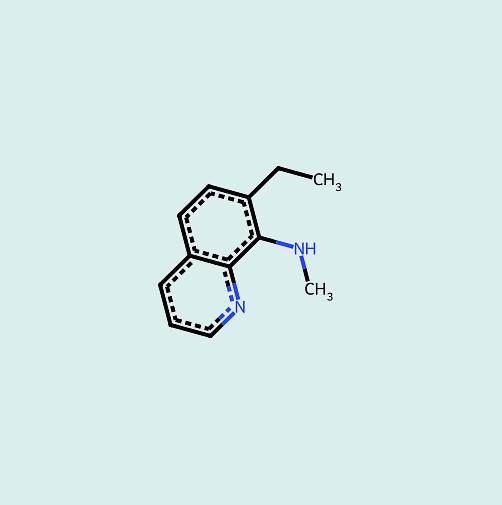 CCc1ccc2cccnc2c1NC